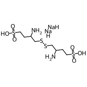 NC(CCS(=O)(=O)O)CSSCC(N)CCS(=O)(=O)O.[NaH].[NaH]